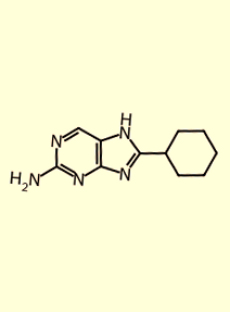 Nc1ncc2[nH]c(C3CCCCC3)nc2n1